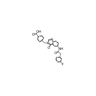 O=C(Cc1cccc(F)c1)Nc1ccc2ncn(Cc3ccc(C(=O)O)cc3)c(=O)c2c1